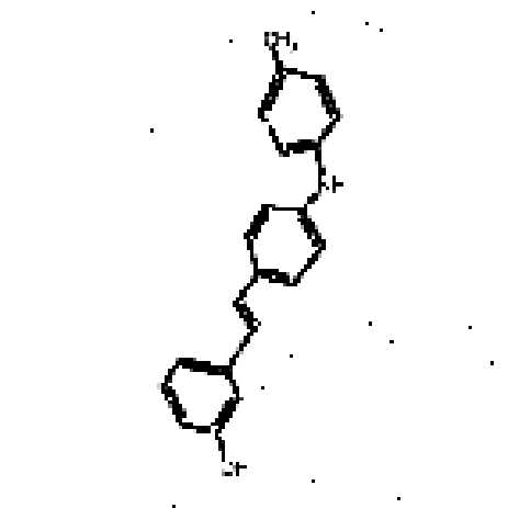 Cc1ccc(Nc2ccc(/C=C/c3cccc(O)c3)cc2)cc1